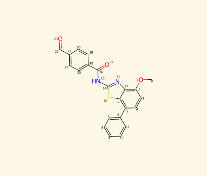 COc1ccc(-c2ccccc2)c2sc(NC(=O)c3ccc(C=O)cc3)nc12